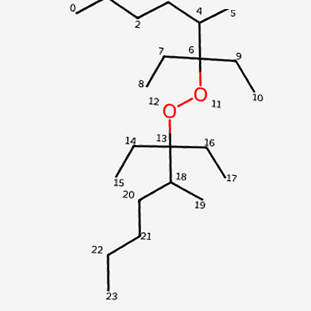 CCCCC(C)C(CC)(CC)OOC(CC)(CC)C(C)CCCC